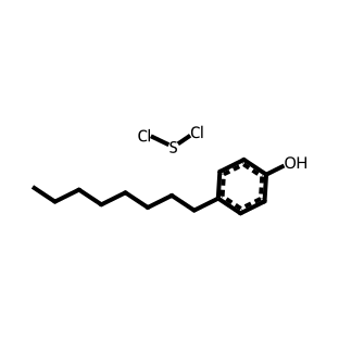 CCCCCCCCc1ccc(O)cc1.ClSCl